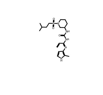 C=C/C(=N\c1cc[nH]c1C)NC(=O)NC1CCCN(S(=O)(=O)CCC(C)C)C1